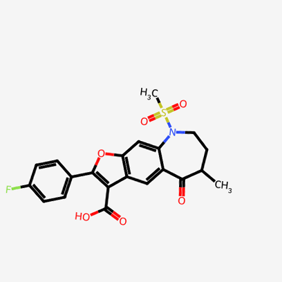 CC1CCN(S(C)(=O)=O)c2cc3oc(-c4ccc(F)cc4)c(C(=O)O)c3cc2C1=O